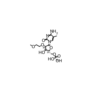 COCCO[C@@H]1[C@H](O)[C@@H](COP(=O)(O)O)O[C@H]1n1cc(C)c(N)nc1=O